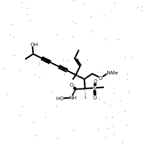 CC=CC(C)(C#CC#CC(C)O)C(CONC)[C@](C)(C(=O)NO)S(C)(=O)=O